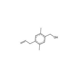 C=CCc1cc(C)c(CO)cc1C